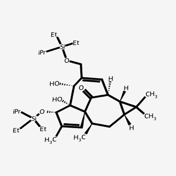 CC[Si](CC)(OCC1=C[C@@H]2C(=O)[C@]3(C=C(C)[C@H](O[Si](CC)(CC)C(C)C)[C@@]3(O)[C@@H]1O)[C@H](C)C[C@@H]1[C@H]2C1(C)C)C(C)C